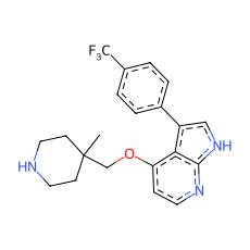 CC1(COc2ccnc3[nH]cc(-c4ccc(C(F)(F)F)cc4)c23)CCNCC1